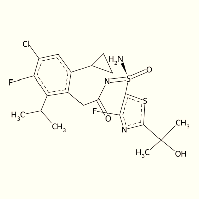 CC(C)c1c(F)c(Cl)cc(C2CC2)c1CC(=O)N=[S@](N)(=O)c1sc(C(C)(C)O)nc1F